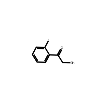 O=C(CS)c1ccccc1I